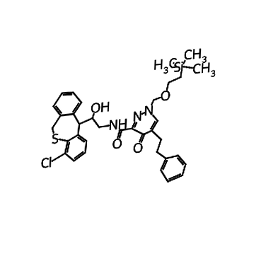 C[Si](C)(C)CCOCn1cc(CCc2ccccc2)c(=O)c(C(=O)NCC(O)C2c3ccccc3CSc3c(Cl)cccc32)n1